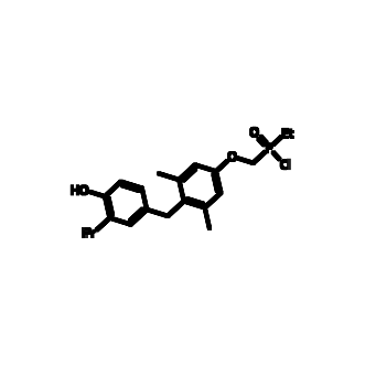 CCP(=O)(Cl)COc1cc(C)c(Cc2ccc(O)c(C(C)C)c2)c(C)c1